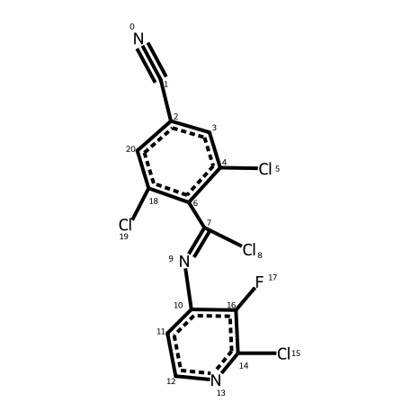 N#Cc1cc(Cl)c(C(Cl)=Nc2ccnc(Cl)c2F)c(Cl)c1